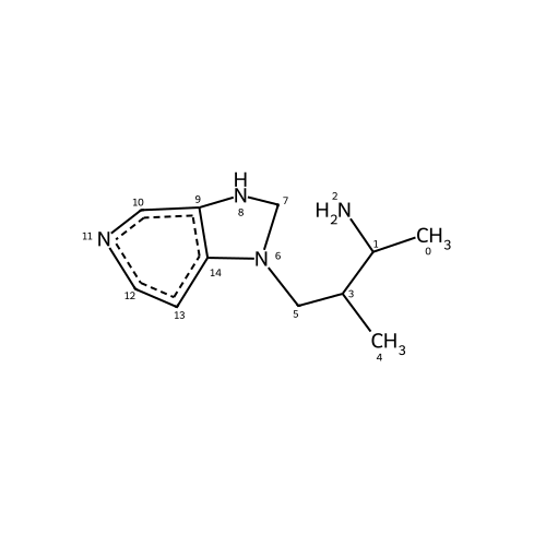 CC(N)C(C)CN1CNc2cnccc21